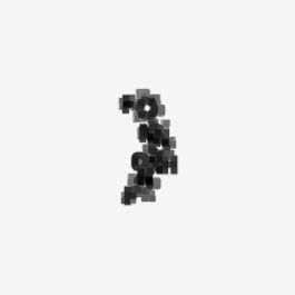 O=C(Nc1ccn2cc(-c3cccc(F)c3)nc2c1)N1CCC(F)C1